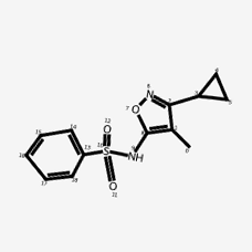 Cc1c(C2CC2)noc1NS(=O)(=O)c1ccccc1